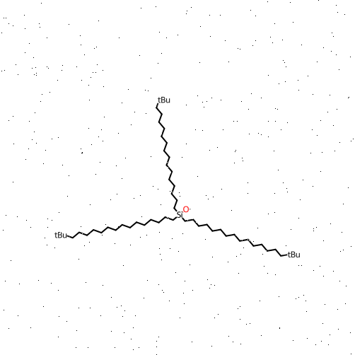 CC(C)(C)CCCCCCCCCCCCCCC[Si]([O])(CCCCCCCCCCCCCCCC(C)(C)C)CCCCCCCCCCCCCCCC(C)(C)C